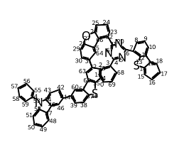 c1ccc(-c2nc(-c3cccc4c3sc3ccccc34)nc(-c3cccc4oc5ccc(-c6ccc7sc8ccc(-c9ccc%10c(c9)c9ccccc9n%10-c9ccccc9)cc8c7c6)cc5c34)n2)cc1